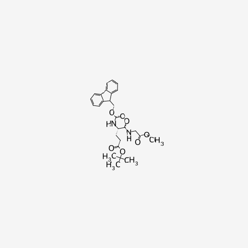 COC(=O)CNC(=O)[C@H](CCC(=O)OC(C)(C)C)NC(=O)OCC1c2ccccc2-c2ccccc21